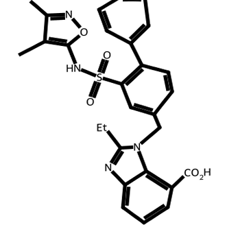 CCc1nc2cccc(C(=O)O)c2n1Cc1ccc(-c2ccccc2)c(S(=O)(=O)Nc2onc(C)c2C)c1